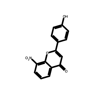 O=c1cc(-c2ccc(O)cc2)oc2c([N+](=O)[O-])cccc12